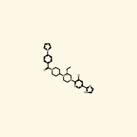 CC[C@H]1CN(c2ncc(-c3ncc[nH]3)cc2Cl)CCN1C1CCN(C(=O)c2ccc(-n3cccc3)cc2)CC1